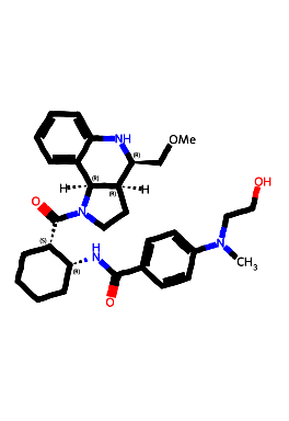 COC[C@@H]1Nc2ccccc2[C@H]2[C@@H]1CCN2C(=O)[C@H]1CCCC[C@H]1NC(=O)c1ccc(N(C)CCO)cc1